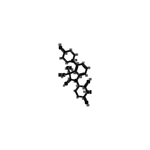 CC1(C)C(=O)N(C2CCC(=O)NC2=O)c2cccc(N3CCC(=O)CC3)c21